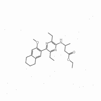 CCOC(=O)CC(C)Nc1nc(CC)c(-c2cc3c(cc2OC)CCCC3)nc1CC